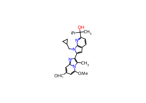 COc1cc(C=O)cc2nc(-c3cc4ccc(C(C)(O)C(C)C)nc4n3CC3CC3)c(C)n12